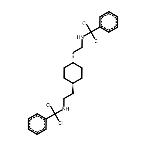 ClC(Cl)(NCC[C@H]1CC[C@H](CCNC(Cl)(Cl)c2ccccc2)CC1)c1ccccc1